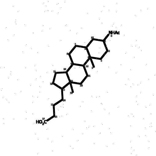 CC(=O)NC1CCC2(C)C(CCC3C4CCC(CCCC(=O)O)C4(C)CCC32)C1